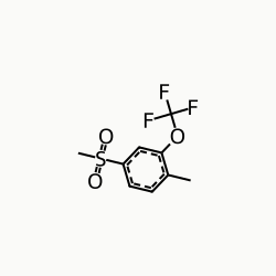 Cc1ccc(S(C)(=O)=O)cc1OC(F)(F)F